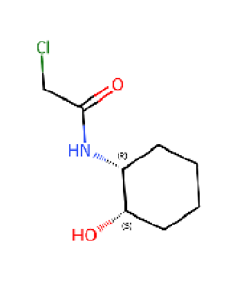 O=C(CCl)N[C@@H]1CCCC[C@@H]1O